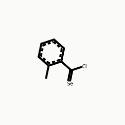 Cc1ccccc1C(Cl)=[Se]